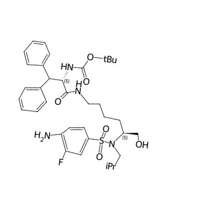 CC(C)CN([C@H](CO)CCCCNC(=O)[C@@H](NC(=O)OC(C)(C)C)C(c1ccccc1)c1ccccc1)S(=O)(=O)c1ccc(N)c(F)c1